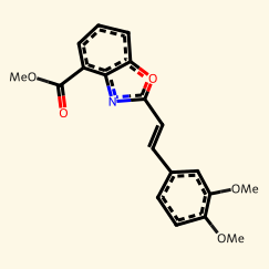 COC(=O)c1cccc2oc(C=Cc3ccc(OC)c(OC)c3)nc12